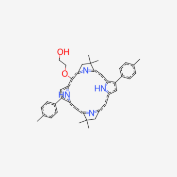 Cc1ccc(-c2cc3cc4nc(cc5[nH]c(cc5-c5ccc(C)cc5)c(OCCO)c5nc(cc2[nH]3)C(C)(C)C5)C(C)(C)C4)cc1